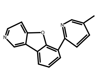 Cc1ccc(-c2cccc3c2oc2ccncc23)nc1